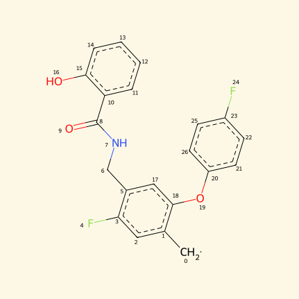 [CH2]c1cc(F)c(CNC(=O)c2ccccc2O)cc1Oc1ccc(F)cc1